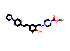 CC(C)(C)OC(=O)N1CCN(/N=C/c2cc(/C=C/c3ccc(N4CCCC4)cc3)cc(F)c2O)CC1